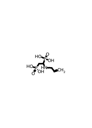 C=CCNC(CP(=O)(O)O)P(=O)(O)O